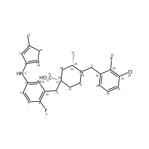 CC1=CC(Nc2ccc(F)c(C[C@]3(C(=O)O)CCN(Cc4cccc(Cl)c4F)[C@@H](C)C3)n2)=NC1